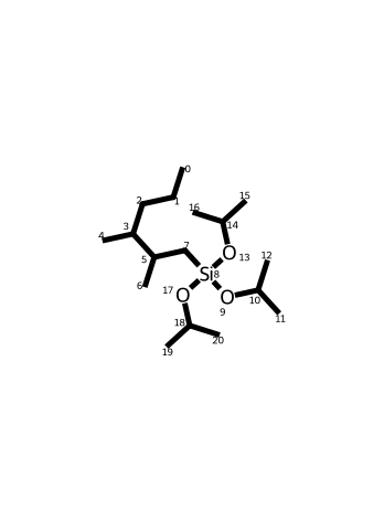 CCCC(C)C(C)C[Si](OC(C)C)(OC(C)C)OC(C)C